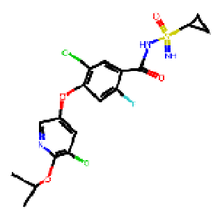 CC(C)Oc1ncc(Oc2cc(F)c(C(=O)NS(=N)(=O)C3CC3)cc2Cl)cc1Cl